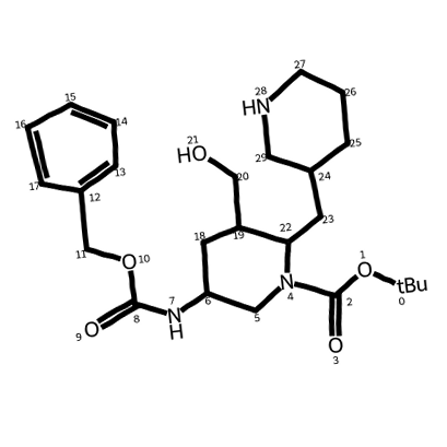 CC(C)(C)OC(=O)N1CC(NC(=O)OCc2ccccc2)CC(CO)C1CC1CCCNC1